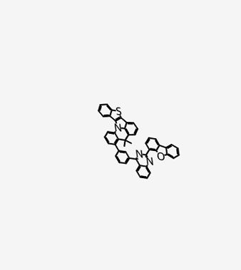 CC1(C)c2c(-c3cccc(-c4nc(-c5cccc6c5oc5ccccc56)nc5ccccc45)c3)cccc2-n2c3c1cccc3c1sc3ccccc3c12